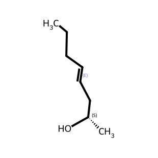 CCC/C=C/C[C@H](C)O